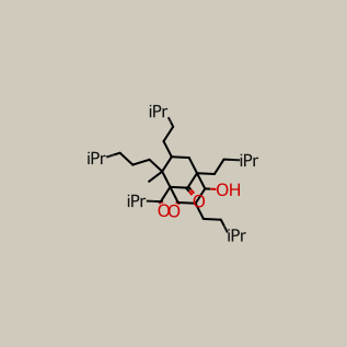 CC(C)CCCC1(C)C(CCC(C)C)CC2(CCC(C)C)C(=O)C1(C(=O)C(C)C)C(=O)C(CCC(C)C)C2O